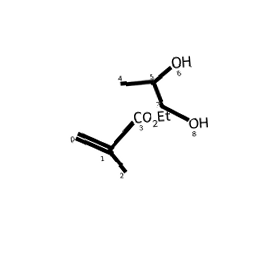 C=C(C)C(=O)OCC.CC(O)CO